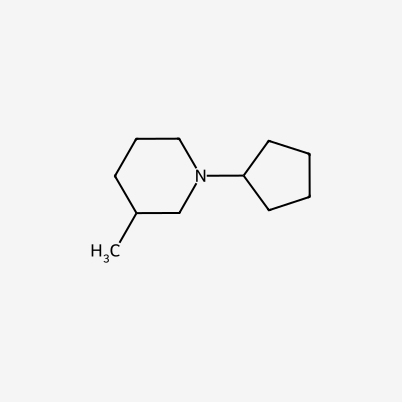 CC1CCCN(C2CCCC2)C1